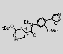 CCN(C(=O)[C@@H](CC(C)C)NC(=O)OC(C)(C)C)c1ccc(-c2cnco2)c(OC)c1